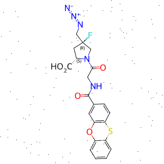 [N-]=[N+]=NC[C@@]1(F)C[C@@H](C(=O)O)N(C(=O)CNC(=O)c2ccc3c(c2)Oc2ccccc2S3)C1